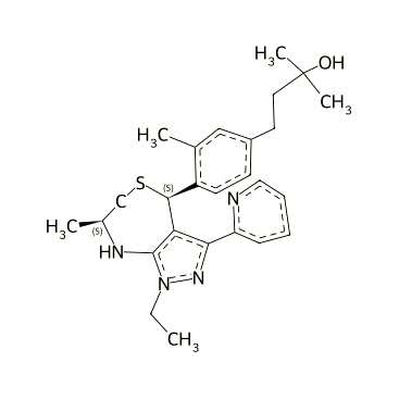 CCn1nc(-c2ccccn2)c2c1N[C@@H](C)CS[C@H]2c1ccc(CCC(C)(C)O)cc1C